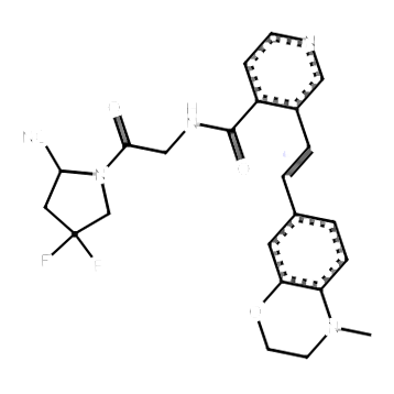 CN1CCOc2cc(/C=C/c3cnccc3C(=O)NCC(=O)N3CC(F)(F)CC3C#N)ccc21